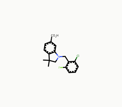 CC1(C)CN(Cc2c(F)cccc2Cl)c2cc(C(=O)O)ccc21